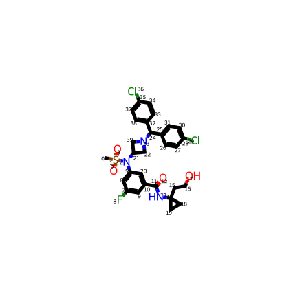 CS(=O)(=O)N(c1cc(F)cc(C(=O)NC2(CCO)CC2)c1)C1CN(C(c2ccc(Cl)cc2)c2ccc(Cl)cc2)C1